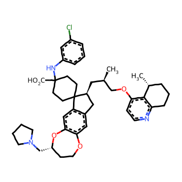 C[C@@H](COc1ccnc2c1[C@H](C)CCC2)C[C@H]1Cc2cc3c(cc2C12CCC(Nc1cccc(Cl)c1)(C(=O)O)CC2)O[C@@H](CN1CCCC1)CCO3